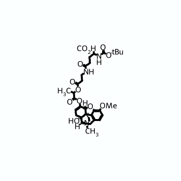 COc1ccc2c3c1O[C@H]1C(OC(=O)C(C)OC(=O)CCNC(=O)CCC(NC(=O)OC(C)(C)C)C(=O)O)=CC[C@@]4(O)[C@@H](C2)N(C)CC[C@]314